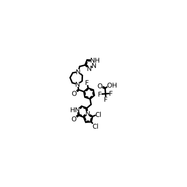 O=C(O)C(F)(F)F.O=C(c1cc(Cc2c[nH]c(=O)c3cc(Cl)c(Cl)n23)ccc1F)N1CCCN(Cc2c[nH]nn2)CC1